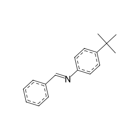 CC(C)(C)c1ccc(/N=C/c2ccccc2)cc1